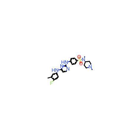 Cc1cc(Nc2ccnc(Nc3ccc(S(=O)(=O)N(C)C4CCN(C)CC4)cc3)n2)ccc1F